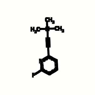 C[Si](C)(C)C#Cc1cccc(F)n1